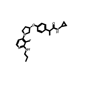 CCCNc1nccc(N2CC[C@@H](Oc3ccc(C(C)C(=O)NC4CC4)cc3)C2)c1F